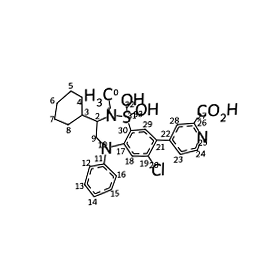 CN1C(C2CCCCC2)CN(c2ccccc2)c2cc(Cl)c(-c3ccnc(C(=O)O)c3)cc2S1(O)O